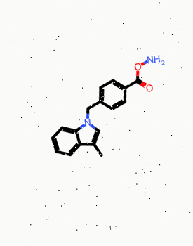 Cc1cn(Cc2ccc(C(=O)ON)cc2)c2ccccc12